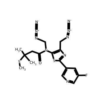 CSC(C)(C)CC(=O)N(CN=[N+]=[N-])c1sc(-c2cncc(F)c2)nc1CN=[N+]=[N-]